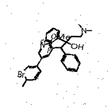 C/C=C(\C=C/C(C)Br)c1cnc(OC)c(C(c2ccccc2)C(O)(CCN(C)C)c2cccc(F)c2F)c1